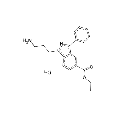 CCOC(=O)c1ccc2c(c1)c(-c1ccccc1)nn2CCCN.Cl